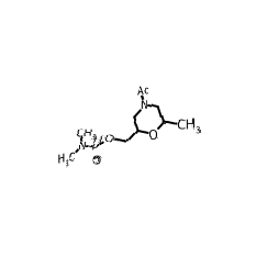 CC(=O)N1CC(C)OC(CO[PH](=O)N(C)C)C1